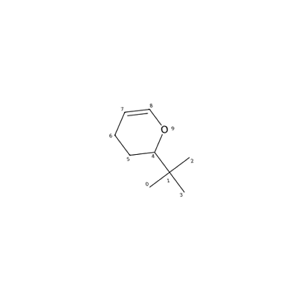 CC(C)(C)C1CCC=CO1